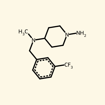 CN(Cc1cccc(C(F)(F)F)c1)C1CCN(N)CC1